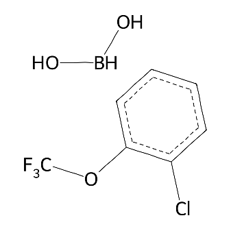 FC(F)(F)Oc1ccccc1Cl.OBO